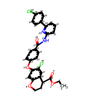 CCOC(=O)C1CCOc2cc(Oc3ccc(C(=O)Nc4cccc(-c5ccc(Cl)cc5)n4)cc3)c(Cl)cc21